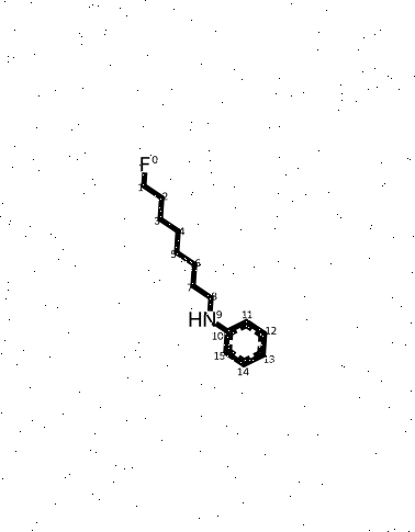 FCCCCCCCCNc1ccccc1